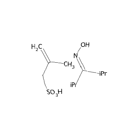 C=C(C)CS(=O)(=O)O.CC(C)C(=NO)C(C)C